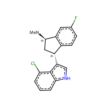 CN[C@@H]1C[C@@H](c2c[nH]c3cccc(Cl)c23)c2ccc(F)cc21